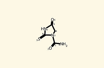 NC(=O)N1CC(=O)NC1=S